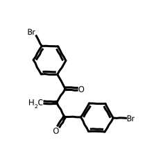 C=C(C(=O)c1ccc(Br)cc1)C(=O)c1ccc(Br)cc1